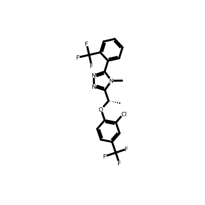 C[C@H](Oc1ccc(C(F)(F)F)cc1Cl)c1nnc(-c2ccccc2C(F)(F)F)n1C